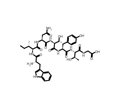 CC[C@H](C)[C@H](NC(=O)[C@@H](N)Cc1c[nH]c2ccccc12)C(=O)N[C@@H](CC(N)=O)C(=O)N[C@H](C(=O)N[C@@H](Cc1ccc(O)cc1)C(=O)N[C@H](C(=O)NCC(=O)O)[C@@H](C)O)[C@@H](C)O